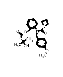 CC(C)(C)OC=O.COc1ccc(CN(C(=O)N2CCC2)c2ccccc2Br)cc1